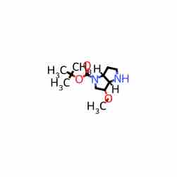 CO[C@H]1CN(C(=O)OC(C)(C)C)[C@@H]2CCN[C@H]12